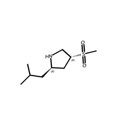 CC(C)C[C@@H]1C[C@@H](S(C)(=O)=O)CN1